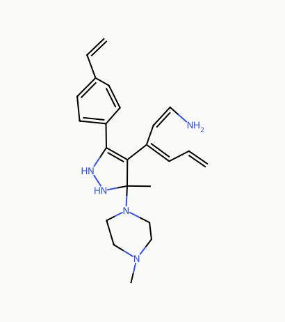 C=C/C=C(\C=C/N)C1=C(c2ccc(C=C)cc2)NNC1(C)N1CCN(C)CC1